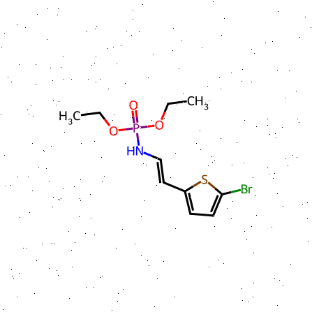 CCOP(=O)(N/C=C/c1ccc(Br)s1)OCC